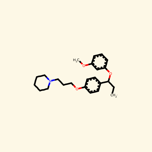 [CH2]CC(Oc1cccc(OC)c1)c1ccc(OCCCN2CCCCC2)cc1